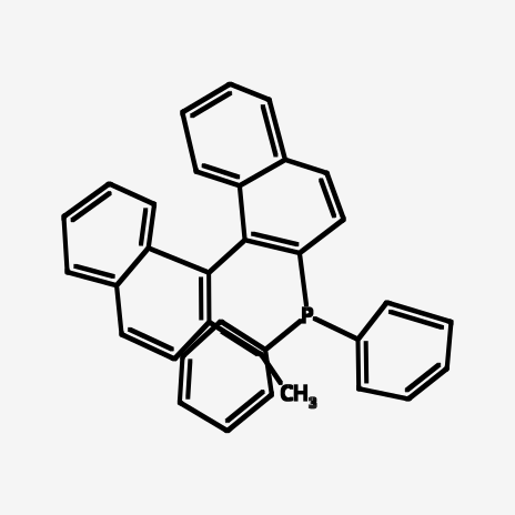 CCc1ccc2ccccc2c1-c1c(P(c2ccccc2)c2ccccc2)ccc2ccccc12